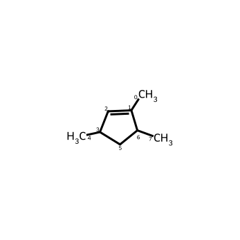 CC1=CC(C)CC1C